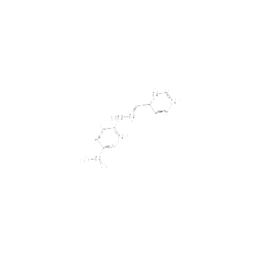 O=[N+]([O-])c1ccc(N/N=C/c2ccncn2)nc1